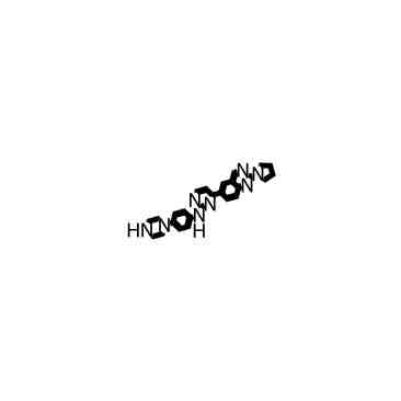 c1cc(-c2ccc3nc(N4CCCC4)ncc3c2)nc(Nc2ccc(N3CCNCC3)cc2)n1